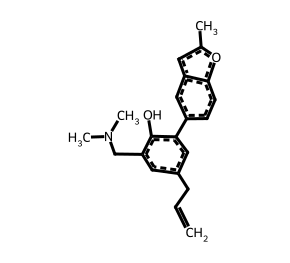 C=CCc1cc(CN(C)C)c(O)c(-c2ccc3oc(C)cc3c2)c1